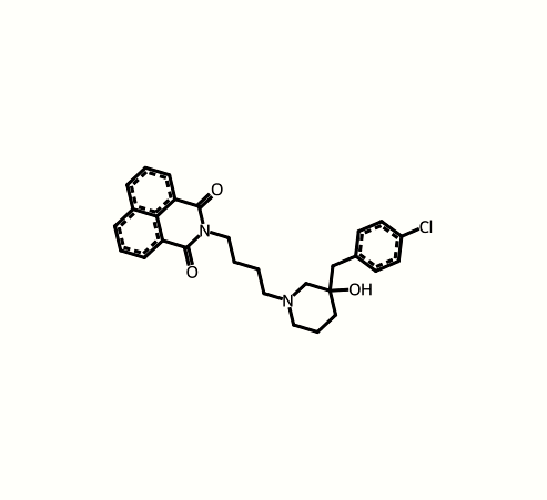 O=C1c2cccc3cccc(c23)C(=O)N1CCCCN1CCCC(O)(Cc2ccc(Cl)cc2)C1